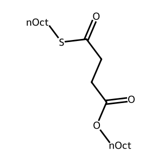 CCCCCCCCOC(=O)CCC(=O)SCCCCCCCC